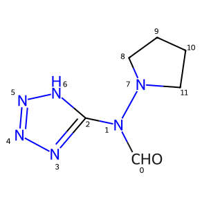 O=CN(c1nnn[nH]1)N1CCCC1